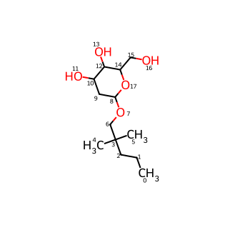 CCCC(C)(C)COC1CC(O)C(O)C(CO)O1